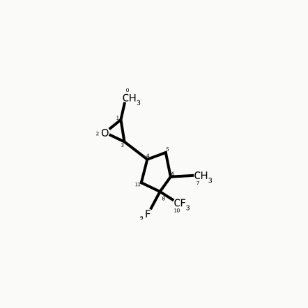 CC1OC1C1CC(C)C(F)(C(F)(F)F)C1